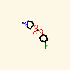 CN1CCC(OC(=O)Oc2ccc(F)cc2)CC1